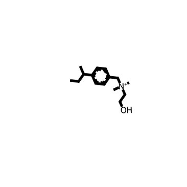 CCC(C)c1ccc(C[N+](C)(C)CCO)cc1